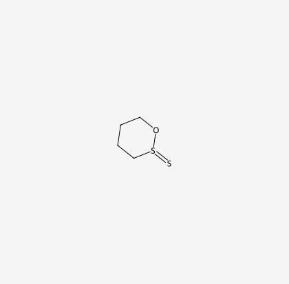 S=S1CCCCO1